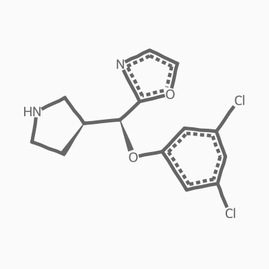 Clc1cc(Cl)cc(O[C@H](c2ncco2)[C@H]2CCNC2)c1